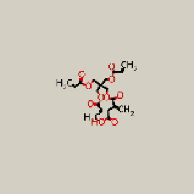 C=CC(=O)OCC(COC(=O)C=C)(COC(=O)C=C)COC(=O)C(=C)CC(=O)O